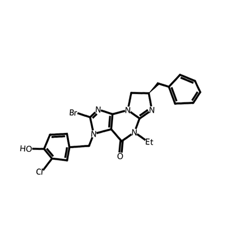 CCN1C(=O)c2c(nc(Br)n2Cc2ccc(O)c(Cl)c2)N2C[C@@H](Cc3ccccc3)N=C12